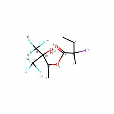 CCC(C)(I)C(=O)OC(C)C(O)(C(F)(F)F)C(F)(F)F